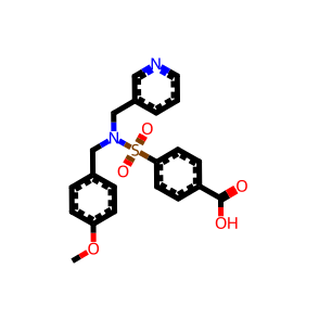 COc1ccc(CN(Cc2cccnc2)S(=O)(=O)c2ccc(C(=O)O)cc2)cc1